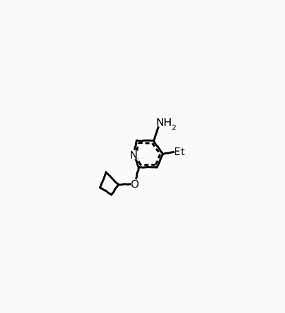 CCc1cc(OC2CCC2)ncc1N